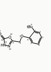 CC(C)(C)c1ccccc1OCc1n[nH]c(=O)o1